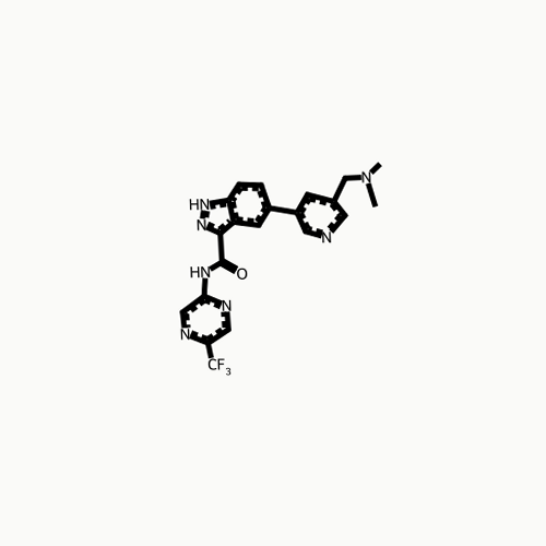 CN(C)Cc1cncc(-c2ccc3[nH]nc(C(=O)Nc4cnc(C(F)(F)F)cn4)c3c2)c1